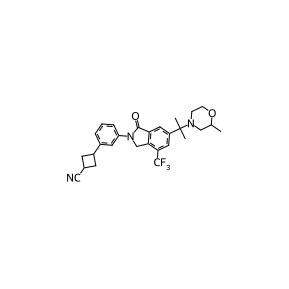 CC1CN(C(C)(C)c2cc3c(c(C(F)(F)F)c2)CN(c2cccc(C4CC(C#N)C4)c2)C3=O)CCO1